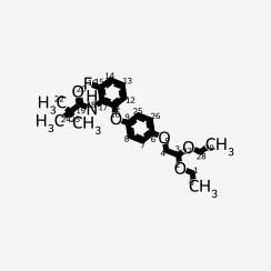 CCOC(COc1ccc(Oc2cccc(F)c2NC(=O)C(C)(C)C)cc1)OCC